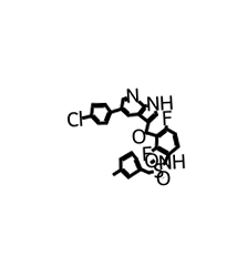 Cc1cccc(CS(=O)(=O)Nc2ccc(F)c(C(=O)c3c[nH]c4ncc(-c5ccc(Cl)cc5)cc34)c2F)c1